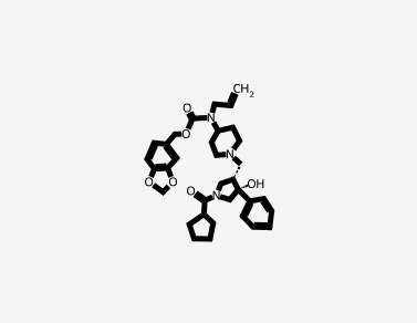 C=CCN(C(=O)OCc1ccc2c(c1)OCO2)C1CCN(C[C@H]2CN(C(=O)C3CCCC3)C[C@]2(O)c2ccccc2)CC1